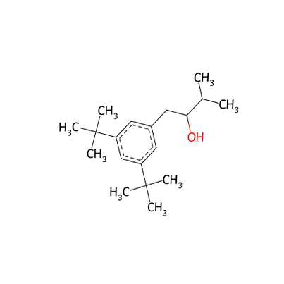 CC(C)C(O)Cc1cc(C(C)(C)C)cc(C(C)(C)C)c1